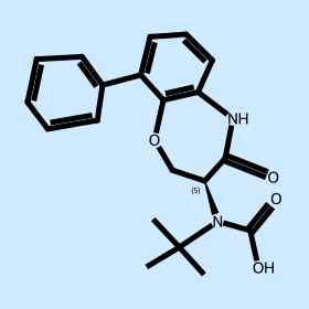 CC(C)(C)N(C(=O)O)[C@H]1COc2c(cccc2-c2ccccc2)NC1=O